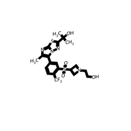 Cc1nc2sc(C(C)(C)O)nn2c1-c1ccc(C(F)(F)F)c(S(=O)(=O)C2CN(CCO)C2)c1